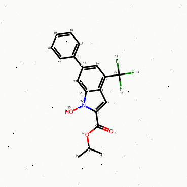 CC(C)OC(=O)c1cc2c(C(F)(F)F)cc(-c3ccccc3)cc2n1O